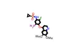 COc1cc2nccc(Oc3cc(F)c(NS(=O)(=O)C4CC4)cc3P)c2cc1OC